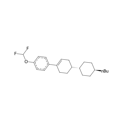 CCCC[C@H]1CC[C@H](C2CC=C(c3ccc(OC(F)F)cc3)CC2)CC1